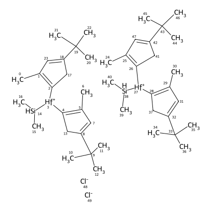 CC1=[C]([Hf+]([C]2=C(C)C=C(C(C)(C)C)C2)[SiH](C)C)CC(C(C)(C)C)=C1.CC1=[C]([Hf+]([C]2=C(C)C=C(C(C)(C)C)C2)[SiH](C)C)CC(C(C)(C)C)=C1.[Cl-].[Cl-]